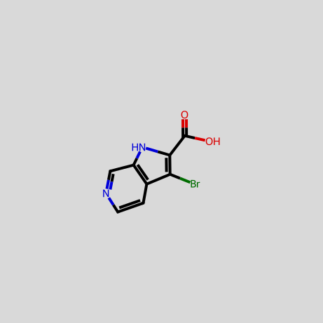 O=C(O)c1[nH]c2cnccc2c1Br